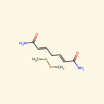 CSSC.NC(=O)C=CCC=CC(N)=O